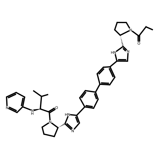 C[CH]C(=O)N1CCC[C@H]1c1ncc(-c2ccc(-c3ccc(-c4cnc([C@@H]5CCCN5C(=O)[C@@H](Nc5cccnc5)C(C)C)[nH]4)cc3)cc2)[nH]1